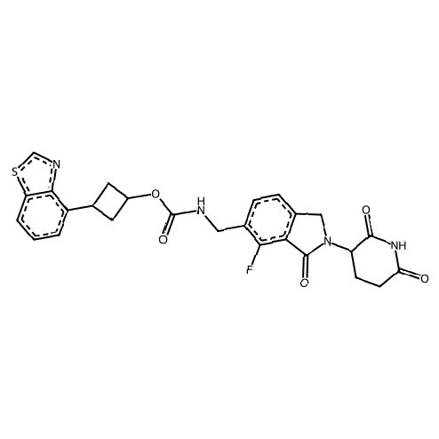 O=C1CCC(N2Cc3ccc(CNC(=O)OC4CC(c5cccc6scnc56)C4)c(F)c3C2=O)C(=O)N1